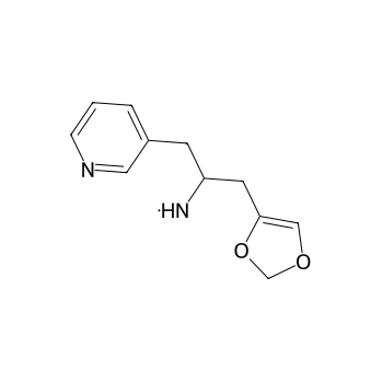 [NH]C(CC1=COCO1)Cc1cccnc1